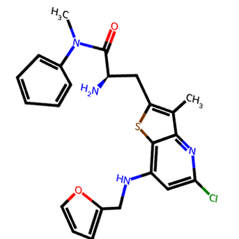 Cc1c(C[C@@H](N)C(=O)N(C)c2ccccc2)sc2c(NCc3ccco3)cc(Cl)nc12